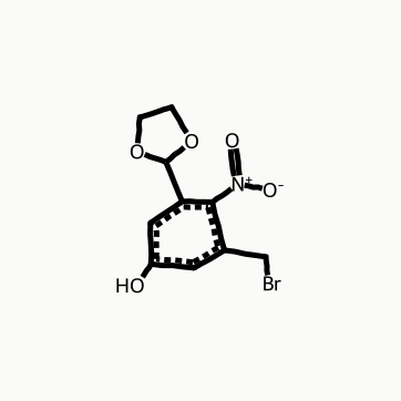 O=[N+]([O-])c1c(CBr)cc(O)cc1C1OCCO1